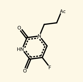 CC(=O)CCn1cc(F)c(=O)[nH]c1=O